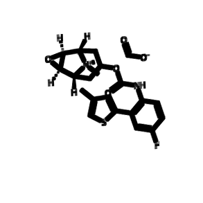 Cc1csc(-c2cc(F)ccc2NC(=O)OC2C[C@@H]3[C@H]4O[C@H]4[C@H](C2)[N+]3(C)C)c1.O=C[O-]